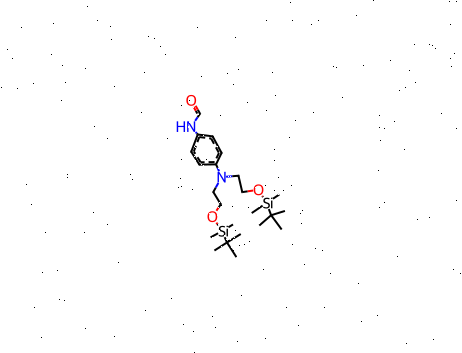 CC(C)(C)[Si](C)(C)OCCN(CCO[Si](C)(C)C(C)(C)C)c1ccc(NC=O)cc1